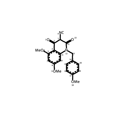 [C-]#[N+]C1C(=O)c2c(OC)cc(OC)cc2N(Cc2ccc(OC)cc2)C1=O